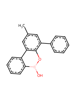 Cc1cc(-c2ccccc2)c2c(c1)-c1ccccc1B(O)O2